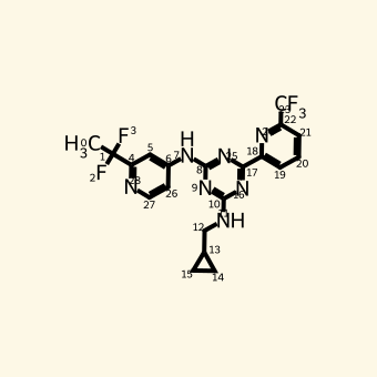 CC(F)(F)c1cc(Nc2nc(NCC3CC3)nc(-c3cccc(C(F)(F)F)n3)n2)ccn1